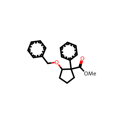 COC(=O)C1(c2ccccc2)CCCC1OCc1ccccc1